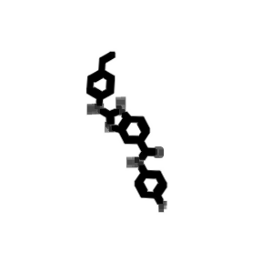 CCc1ccc(Nc2nc3cc(C(=O)Nc4ccc(F)cc4)ccc3[nH]2)cc1